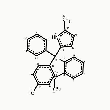 CCCCSc1ccccc1[C@@](c1ccccc1)(c1ccc(O)cc1)c1ccc(C)[nH]1